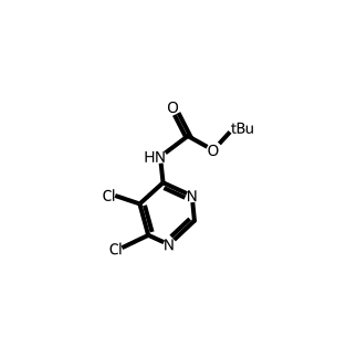 CC(C)(C)OC(=O)Nc1ncnc(Cl)c1Cl